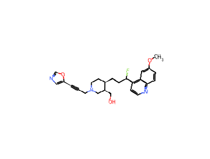 COc1ccc2nccc(C(F)CC[C@@H]3CCN(CC#Cc4cnco4)C[C@@H]3CO)c2c1